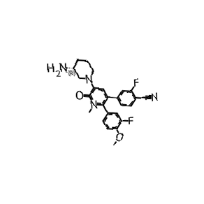 COc1ccc(-c2c(-c3ccc(C#N)c(F)c3)cc(N3CCC[C@@H](N)C3)c(=O)n2C)cc1F